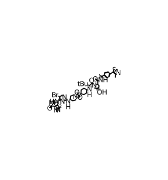 Cc1ncsc1-c1ccc([C@H](C)NC(=O)C2C[C@@H](O)CN2C(=O)[C@@H](NC2CCC(S(=O)(=O)N3CCC(Nc4ncc(Br)c(Nc5cnn(C)c5C(N)=O)n4)CC3)CC2)C(C)(C)C)cc1